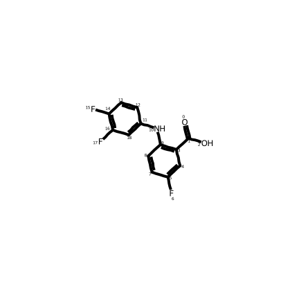 O=C(O)c1cc(F)ccc1Nc1ccc(F)c(F)c1